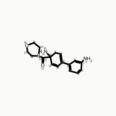 Nc1cccc(C2=CCC(N)(C(=O)N3CCOCC3)C=C2)c1